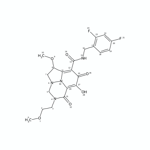 COCCN1CN2CC(OC)c3c(C(=O)NCc4ccc(F)cc4F)c(=O)c(O)c(n32)C1=O